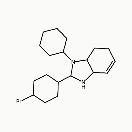 BrC1CCC(C2NC3C=CCCC3N2C2CCCCC2)CC1